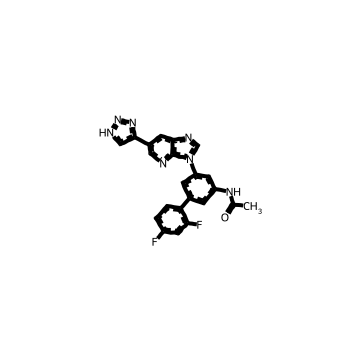 CC(=O)Nc1cc(-c2ccc(F)cc2F)cc(-n2cnc3cc(-c4c[nH]nn4)cnc32)c1